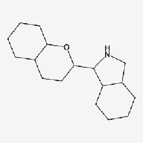 C1CCC2OC(C3NCC4CCCCC43)CCC2C1